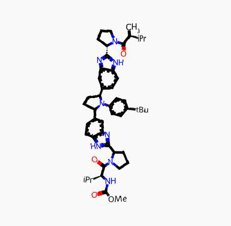 COC(=O)N[C@H](C(=O)N1CCCC1c1nc2cc(C3CCC(c4ccc5[nH]c([C@@H]6CCCN6C(=O)[C@@H](C)C(C)C)nc5c4)N3c3ccc(C(C)(C)C)cc3)ccc2[nH]1)C(C)C